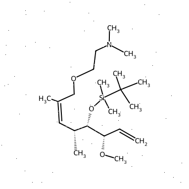 C=C[C@H](OC)[C@@H](O[Si](C)(C)C(C)(C)C)[C@H](C)/C=C(/C)COCCN(C)C